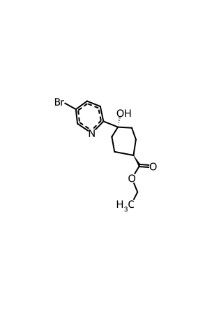 CCOC(=O)[C@H]1CC[C@@](O)(c2ccc(Br)cn2)CC1